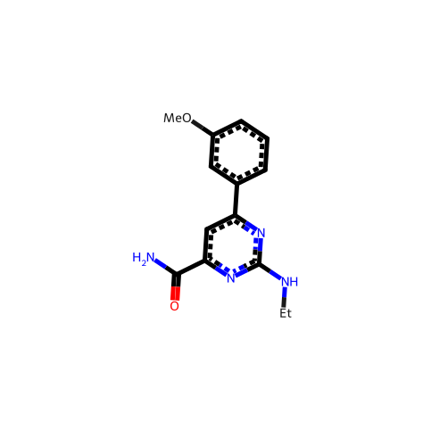 CCNc1nc(C(N)=O)cc(-c2cccc(OC)c2)n1